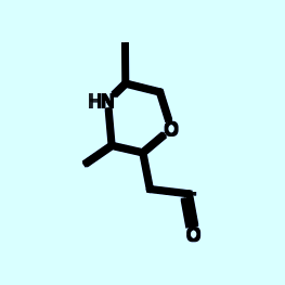 CC1COC(C[C]=O)C(C)N1